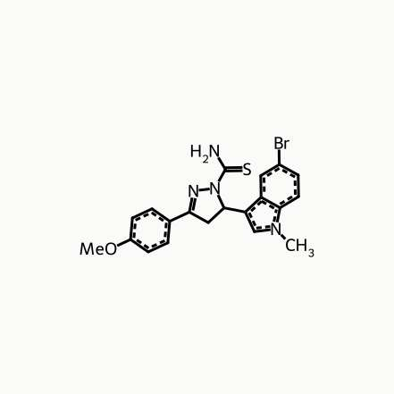 COc1ccc(C2=NN(C(N)=S)C(c3cn(C)c4ccc(Br)cc34)C2)cc1